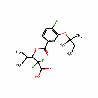 CCC(C)(C)Oc1cc(C(=O)OC(C(C)C)C(F)(F)C(=O)O)ccc1F